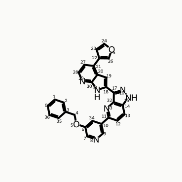 c1ccc(COc2cncc(-c3ccc4[nH]nc(-c5cc6c(-c7ccoc7)ccnc6[nH]5)c4n3)c2)cc1